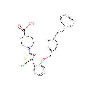 O=C(O)C1CCN(c2nc(-c3ccccc3OCc3ccc(CCc4ccccc4)cc3)c(Cl)s2)CC1